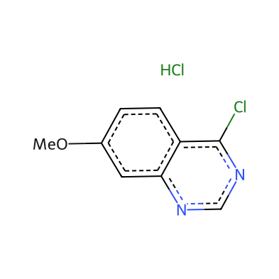 COc1ccc2c(Cl)ncnc2c1.Cl